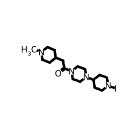 CN1CCC(CC(=O)N2CCN(C3CCN(I)CC3)CC2)CC1